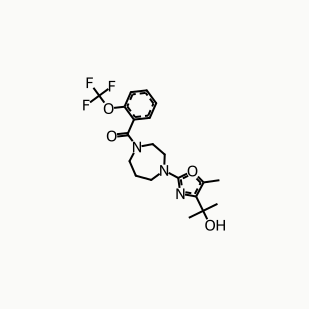 Cc1oc(N2CCCN(C(=O)c3ccccc3OC(F)(F)F)CC2)nc1C(C)(C)O